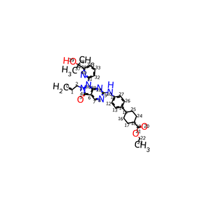 C=CCn1c(=O)c2cnc(Nc3ccc(C4CCC(C(=O)OCC)CC4)cc3)nc2n1-c1cccc(C(C)(C)O)n1